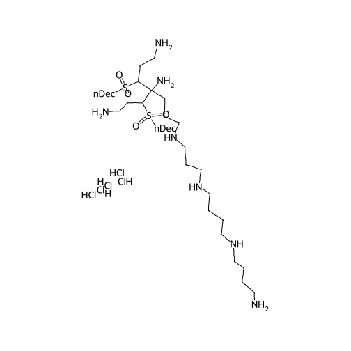 CCCCCCCCCCS(=O)(=O)C(CCN)C(N)(CCCNCCCNCCCCNCCCCN)C(CCN)S(=O)(=O)CCCCCCCCCC.Cl.Cl.Cl.Cl.Cl